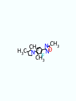 Cc1nc(-c2ccc(N3CCC(C)[C@@H]3C)c(C)c2F)no1